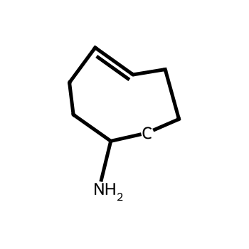 NC1CC/C=C/CCC1